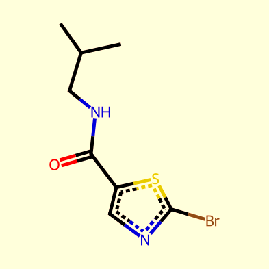 CC(C)CNC(=O)c1cnc(Br)s1